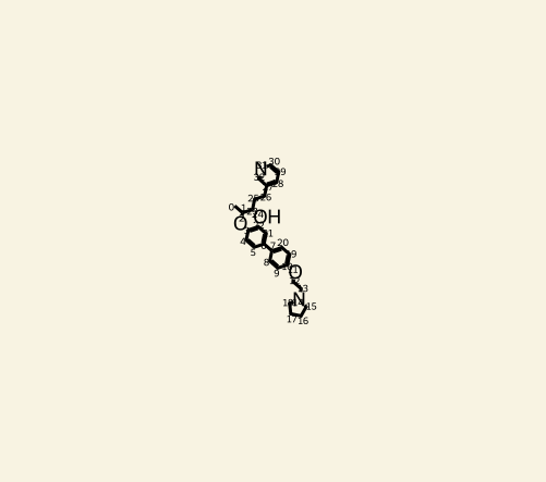 CC(Oc1ccc(-c2ccc(OCCN3CCCC3)cc2)cc1)C(O)CCc1cccnc1